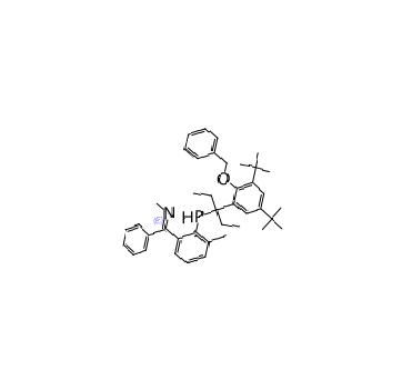 CCC(CC)(Pc1c(C)cccc1/C(=N/C)c1ccccc1)c1cc(C(C)(C)C)cc(C(C)(C)C)c1OCc1ccccc1